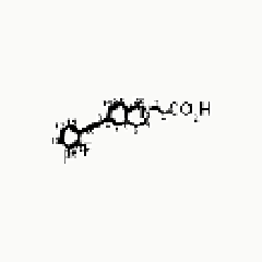 O=C(O)CCN1CCc2cc(C#Cc3cccc(F)c3F)ccc2C1